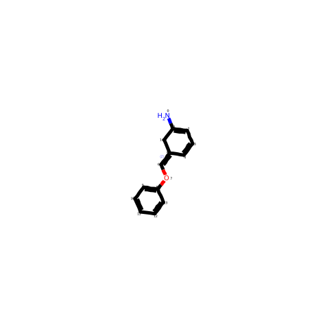 NC1=CC=C/C(=C\Oc2ccccc2)C1